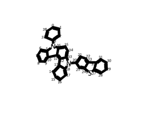 c1ccc(-n2c3ccccc3c3c4c5ccccc5n(-c5ccc6c(c5)sc5ccccc56)c4ccc32)cc1